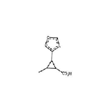 CC1C(C(=O)O)C1c1cocn1